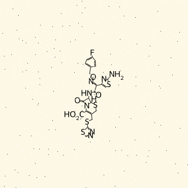 Nc1nc(C(=NOCc2ccc(F)cc2)C(=O)NC2C(=O)N3C(C(=O)O)=C(CSc4nncs4)CS[C@@H]23)cs1